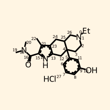 CCN1CCC2(c3cccc(O)c3)Cc3[nH]c(C(=O)N(C)C)c(C)c3CC2C1.Cl